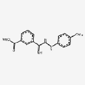 COC(=O)c1cccc(C(=N)NNc2ccc(OC)cc2)c1